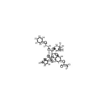 CN(C)C(=O)Oc1ccc(N([C@@](C)(C(=O)OCCOc2ccccc2)C(=O)[C@H]2NC(C)(C)CS2)S(=O)(=O)c2ccn(C)n2)cc1